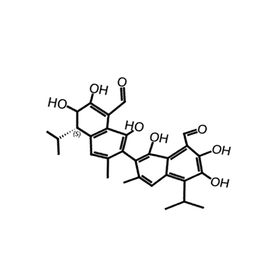 Cc1cc2c(c(O)c1-c1c(C)cc3c(C(C)C)c(O)c(O)c(C=O)c3c1O)C(C=O)=C(O)C(O)[C@H]2C(C)C